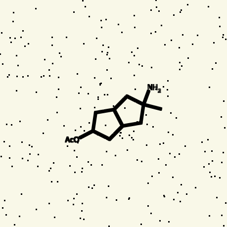 CC(=O)OC1CC2CC(C)(N)CC2C1